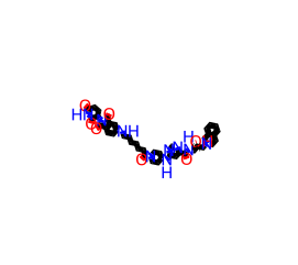 O=C1CCC(N2C(=O)c3ccc(NCCCCCCC(=O)N4CCC(Nc5cc(C(=O)NC[C@H](O)CN6CCc7ccccc7C6)ncn5)CC4)cc3C2=O)C(=O)N1